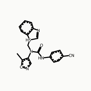 Cc1oncc1N(C[SH]1C=Nc2ccccc21)C(=O)Nc1ccc(C#N)cc1